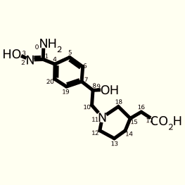 NC(=NO)c1ccc(C(O)CN2CCCC(CC(=O)O)C2)cc1